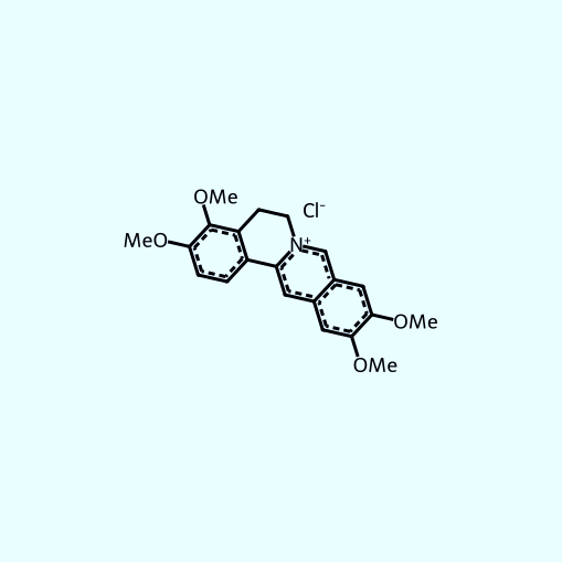 COc1cc2cc3[n+](cc2cc1OC)CCc1c-3ccc(OC)c1OC.[Cl-]